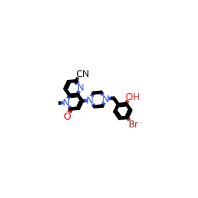 Cn1c(=O)cc(N2CCN(Cc3ccc(Br)cc3O)CC2)c2nc(C#N)ccc21